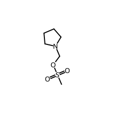 CS(=O)(=O)OCN1CCCC1